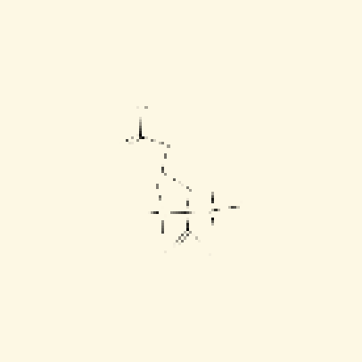 C[Si](C)(Cl)C(CCCC(=O)O)(C(=O)O)[Si](C)(C)Cl